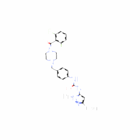 CC(C)n1nc(C(C)(C)C)cc1NC(=O)Nc1ccc(CN2CCN(C(=O)c3c(F)cccc3F)CC2)cc1